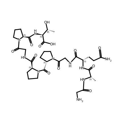 C[C@H](NC(=O)CN)C(=O)N[C@@H](CCC(N)=O)C(=O)NCC(=O)N1CCC[C@H]1C(=O)N1CCC[C@H]1C(=O)NCC(=O)N1CCC[C@H]1C(=O)N[C@H](C(=O)O)[C@@H](C)O